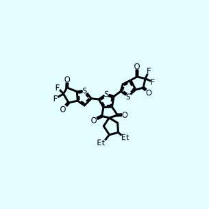 CCC1CC2(CC1CC)C(=O)c1c(-c3cc4c(s3)C(=O)C(F)(F)C4=O)sc(-c3cc4c(s3)C(=O)C(F)(F)C4=O)c1C2=O